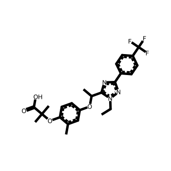 CCn1nc(-c2ccc(C(F)(F)F)cc2)nc1C(C)Oc1ccc(OC(C)(C)C(=O)O)c(C)c1